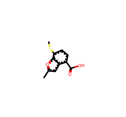 CSc1ccc(C(=O)O)c2cc(C)oc12